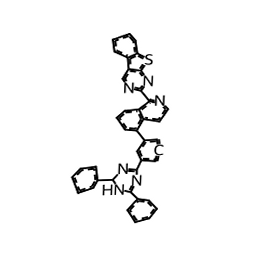 c1ccc(C2=NC(c3cccc(-c4cccc5c(-c6ncc7c(n6)sc6ccccc67)nccc45)c3)=NC(c3ccccc3)N2)cc1